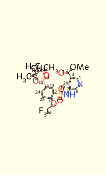 COC(=O)c1cncc(NS(=O)(=O)c2cc(B3OC(C)(C)C(C)(C)O3)ccc2OC(F)(F)F)c1